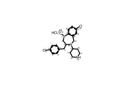 CN1CC(Cc2ccc(Cl)cc2)N(C2CCNCC2)Cc2cc(Cl)ccc21.Cl